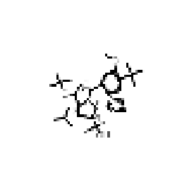 COc1cc(C(=O)N2[C@@H](c3nccs3)[C@@H](C(C)(C)O)C[C@@]2(CC(C)C)C(=O)OC(C)(C)C)ccc1C(C)(C)C